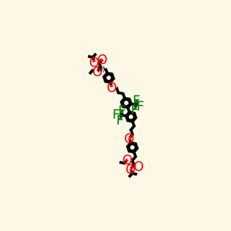 CCOC(Cc1ccc(OCCCc2ccc(-c3ccc(CCCOc4ccc(C[C@H](OCC)C(=O)OC(C)C)cc4)cc3C(F)(F)F)c(C(F)(F)F)c2)cc1)C(=O)OC(C)C